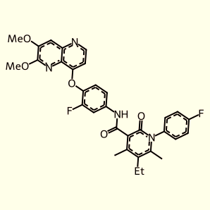 CCc1c(C)c(C(=O)Nc2ccc(Oc3ccnc4cc(OC)c(OC)nc34)c(F)c2)c(=O)n(-c2ccc(F)cc2)c1C